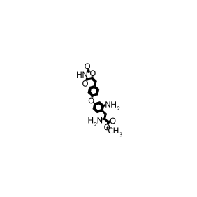 COC(=O)C(N)Cc1ccc(Oc2ccc(/C=C3/OC(=O)NC3=O)cc2)cc1N